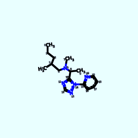 CCCC(C)CN(C)C(C)c1ncnn1-c1ccccn1